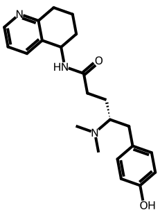 CN(C)[C@H](CCC(=O)NC1CCCc2ncccc21)Cc1ccc(O)cc1